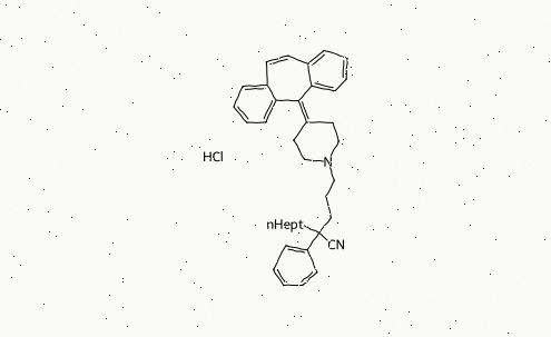 CCCCCCCC(C#N)(CCCN1CCC(=C2c3ccccc3C=Cc3ccccc32)CC1)c1ccccc1.Cl